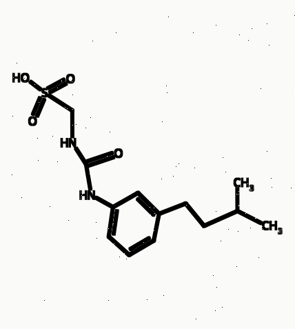 CC(C)CCc1cccc(NC(=O)NCS(=O)(=O)O)c1